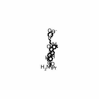 CC(C)[C@H](N)C(=O)O[C@H]1CCC2(C)[C@H]3CCC4=C5CC(C)(C)CC[C@]5(C(=O)NCCCN5CCC(=O)[S+]([O-])CC5)CC[C@@]4(C)[C@]3(C)CC[C@H]2C1(C)C